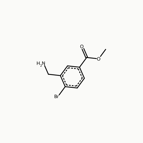 COC(=O)c1ccc(Br)c(CN)c1